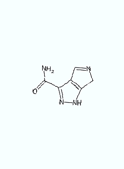 NC(=O)c1n[nH]c2c1C=NC2